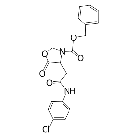 O=C(CC1C(=O)OCN1C(=O)OCc1ccccc1)Nc1ccc(Cl)cc1